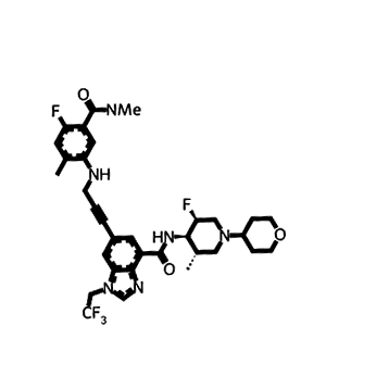 CNC(=O)c1cc(NCC#Cc2cc(C(=O)N[C@@H]3[C@@H](C)CN(C4CCOCC4)C[C@@H]3F)c3ncn(CC(F)(F)F)c3c2)c(C)cc1F